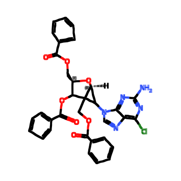 Nc1nc(Cl)c2ncn(C3[C@@H]4O[C@H](COC(=O)c5ccccc5)C(OC(=O)c5ccccc5)C34COC(=O)c3ccccc3)c2n1